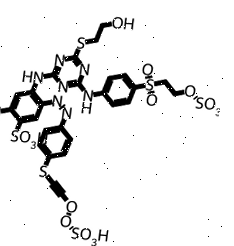 Nc1cc(Nc2nc(Nc3ccc(S(=O)(=O)CCOS(=O)(=O)O)cc3)nc(SCCO)n2)c(N=Nc2ccc(SC#COOS(=O)(=O)O)cc2)cc1S(=O)(=O)O